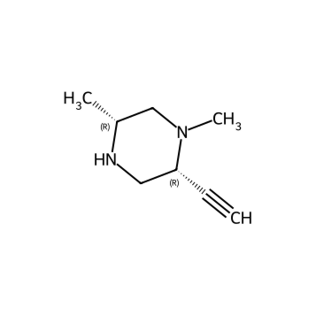 C#C[C@@H]1CN[C@H](C)CN1C